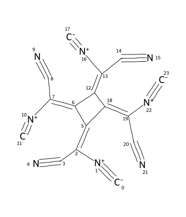 [C-]#[N+]C(C#N)=C1C(=C(C#N)[N+]#[C-])C(=C(C#N)[N+]#[C-])C1=C(C#N)[N+]#[C-]